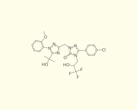 COc1ccccc1-n1nc(Cn2nc(-c3ccc(Cl)cc3)n(CC(O)C(F)(F)F)c2=O)nc1C(C)(C)O